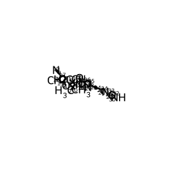 CC1(C)[C@H](Oc2ccc(C#N)c(Cl)c2)C(C)(C)[C@H]1N1Cc2nc(C#CC3CN(C4CCNCC4)C3)ccc2C1=O